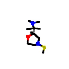 CSN1CCO[C@H](C(C)(C)N(C)C)C1